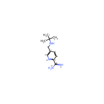 CC(C)(C)NCc1ccc(C(=N)N)nc1